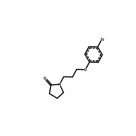 CCc1ccc(OCCCN2CCCC2=O)cc1